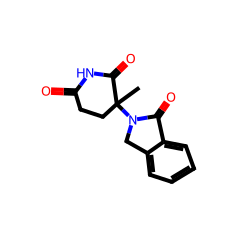 CC1(N2Cc3ccccc3C2=O)CCC(=O)NC1=O